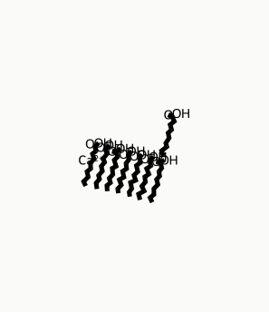 CCCCCCCCCC(=O)O.CCCCCCCCCC(=O)O.CCCCCCCCCC(=O)O.CCCCCCCCCC(=O)O.CCCCCCCCCC(=O)O.CCCCCCCCCC(=O)O.CCCCCCCCCC(=O)O.CCCCCCCCCC(=O)O.[Ca+2]